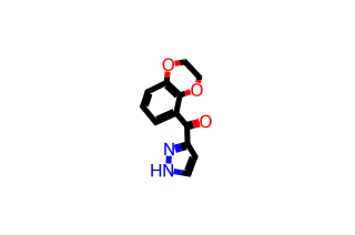 O=C(c1cc[nH]n1)c1cccc2c1OCCO2